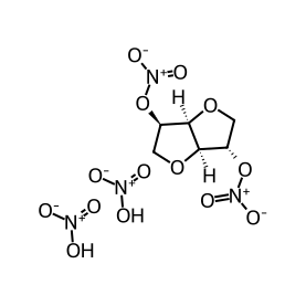 O=[N+]([O-])O.O=[N+]([O-])O.O=[N+]([O-])O[C@H]1CO[C@H]2[C@@H]1OC[C@H]2O[N+](=O)[O-]